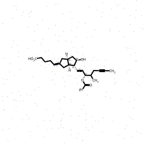 CC#CCC(C)[C@@H](/C=C/[C@@H]1[C@H]2C/C(=C/CCCC(=O)O)C[C@H]2C[C@H]1O)OC(=O)C(C)C